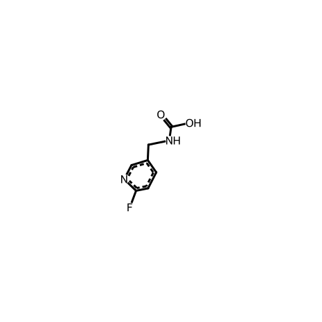 O=C(O)NCc1ccc(F)nc1